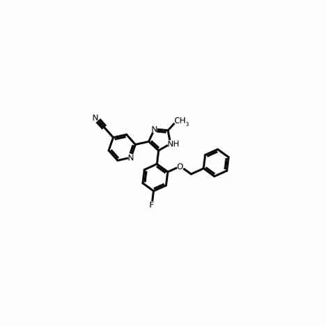 Cc1nc(-c2cc(C#N)ccn2)c(-c2ccc(F)cc2OCc2ccccc2)[nH]1